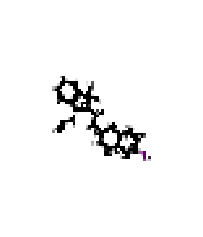 C=CC[C@@H]1C2=C(CCC=C2)C(C)(C)C1CCC1C=CC2C[C@@H](I)C=CC2C1